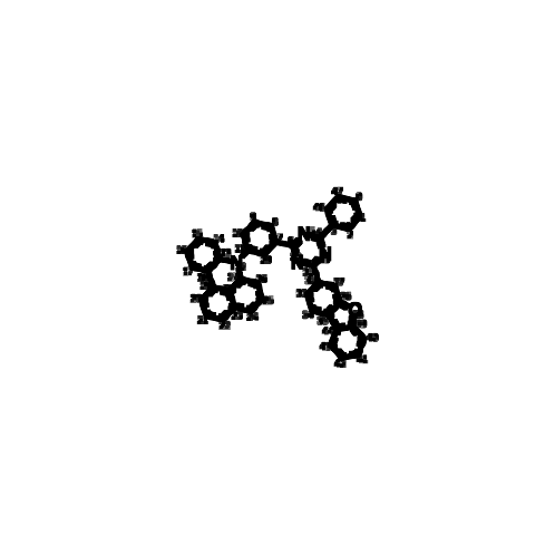 c1ccc(-c2nc(-c3cccc(N4c5ccccc5-c5cccc6cccc4c56)c3)nc(-c3ccc4c(c3)oc3ccccc34)n2)cc1